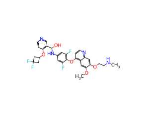 CNCCOc1cc2nccc(Oc3c(F)cc(NC(O)c4cnccc4OC4CC(F)(F)C4)cc3F)c2cc1OC